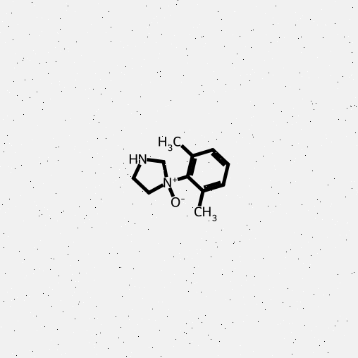 Cc1cccc(C)c1[N+]1([O-])CCNC1